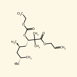 C=CCOC(=O)C(C)(C)[C@H](C[C@H](C)C[C@H](C)C(C)(C)C)OC(=O)OCC(Cl)(Cl)Cl